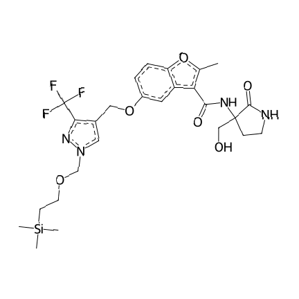 Cc1oc2ccc(OCc3cn(COCC[Si](C)(C)C)nc3C(F)(F)F)cc2c1C(=O)NC1(CO)CCNC1=O